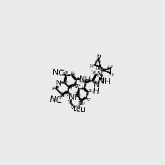 CC(C)(C)CNc1c(C#N)cnc2c(C#N)cc(N[C@H](C3=CN(C4(C5CC5)CC4)NN3)c3ccc(F)cc3)cc12